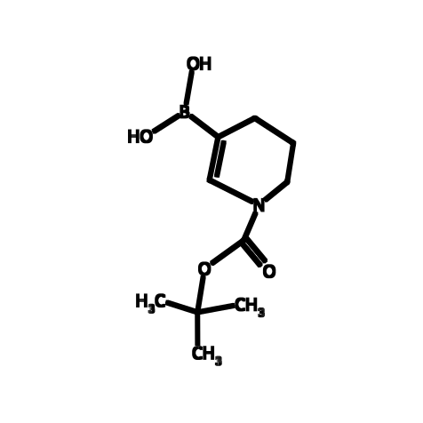 CC(C)(C)OC(=O)N1C=C(B(O)O)CCC1